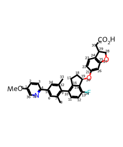 COc1ccc(-c2cc(C)c(-c3ccc(F)c4c3CC[C@H]4Oc3ccc4c(c3)OCC4CC(=O)O)c(C)c2)nc1